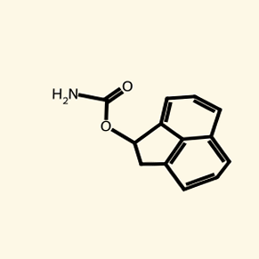 NC(=O)OC1Cc2cccc3cccc1c23